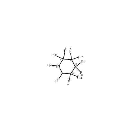 FC1N(F)C(F)(F)C(F)(F)C(F)(F)C1(F)F